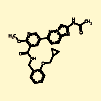 COc1ncc(-c2ccc3nc(NC(C)=O)cn3n2)cc1C(=O)NCc1ccccc1OCC1CC1